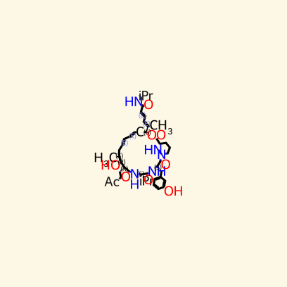 CC(=O)CC[C@H]1C(=O)N[C@@H](C(C)C)C(=O)N[C@@H](Cc2cccc(O)c2)C(=O)N2CCCC(N2)C(=O)O[C@H](/C(C)=C/C=C/C(=O)NC(C)C)C/C=C/C=C/C[C@H](C)[C@H]1O